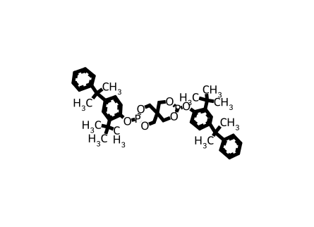 CC(C)(C)c1cc(C(C)(C)c2ccccc2)ccc1OP1OCC2(CO1)COP(Oc1ccc(C(C)(C)c3ccccc3)cc1C(C)(C)C)OC2